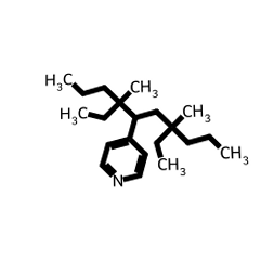 CCCC(C)(CC)CC(c1ccncc1)C(C)(CC)CCC